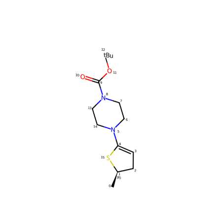 C[C@@H]1CC=C(N2CCN(C(=O)OC(C)(C)C)CC2)S1